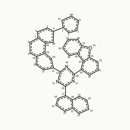 c1ccc(-c2ccc3ccc4ccc(-c5nc(-c6cccc7ccccc67)nc(-c6cccc7oc8ccccc8c67)n5)cc4c3c2)cc1